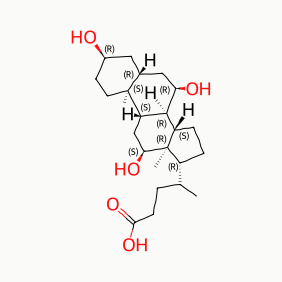 CC(CCC(=O)O)[C@H]1CC[C@H]2[C@@H]3[C@H](O)C[C@H]4C[C@H](O)CC[C@]4(C)[C@H]3C[C@H](O)[C@]12C